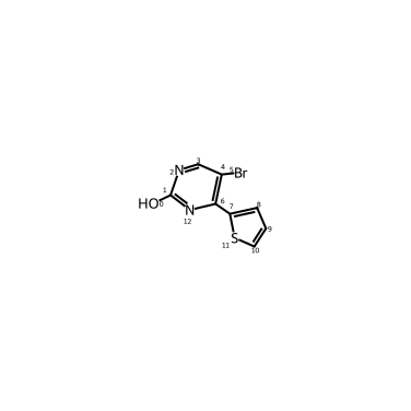 Oc1ncc(Br)c(-c2cccs2)n1